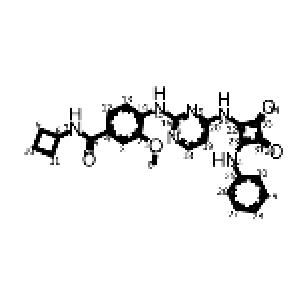 COc1cc(C(=O)NC2CCC2)ccc1Nc1nccc(Nc2c(Nc3ccccc3)c(=O)c2=O)n1